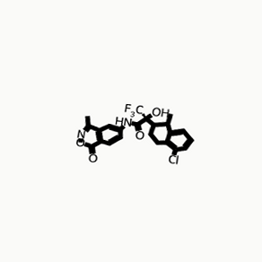 Cc1noc(=O)c2ccc(NC(=O)[C@](O)(C3CCc4c(Cl)cccc4C3C)C(F)(F)F)cc12